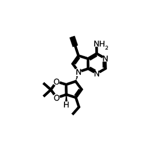 C#Cc1cn([C@@H]2C=C(CC)[C@@H]3OC(C)(C)OC23)c2ncnc(N)c12